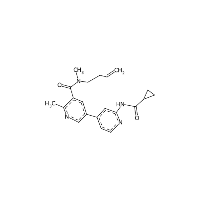 C=CCCN(C)C(=O)c1cc(-c2ccnc(NC(=O)C3CC3)c2)cnc1C